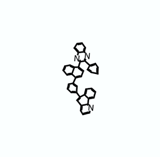 c1ccc(-c2nc3ccccc3nc2-c2ccc(-c3cccc(-c4cc5cccnc5c5ccccc45)c3)c3ccccc23)cc1